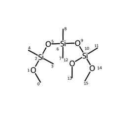 CO[Si](C)(C)O[Si](C)(C)O[Si](C)(OC)OC